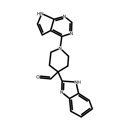 O=CC1(c2nc3ccccc3[nH]2)CCN(c2ncnc3[nH]ccc23)CC1